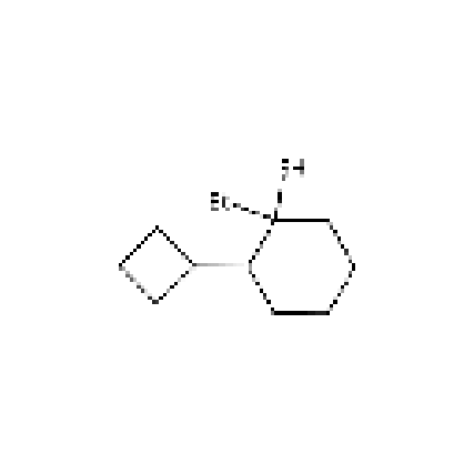 CCC1(S)CCCCC1C1CCC1